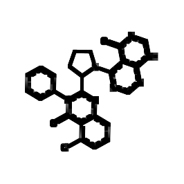 O=c1nc[nH]c2ncnc(N3CCCC3c3nc4cccc(Cl)c4c(=O)n3-c3ccccc3)c12